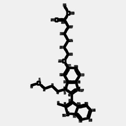 COCCCn1c(-c2c(C)sc3ccccc23)nc2ccc(OCCCCCC(=O)OC)cc21